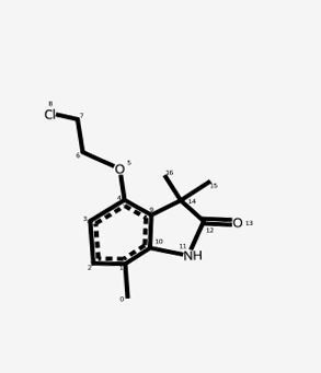 Cc1ccc(OCCCl)c2c1NC(=O)C2(C)C